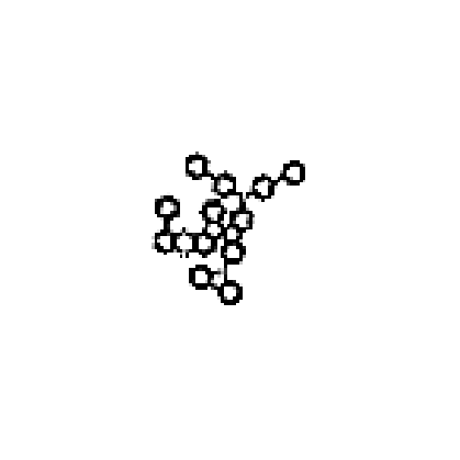 c1ccc(-c2ccc(N(c3ccc(-c4ccccc4)cc3)c3ccc4c(c3)C3(c5cc(-n6c7ccccc7c7ccccc76)ccc5-4)c4ccccc4-c4c3ccc3c4Sc4c(cccc4-c4ccccc4)O3)cc2)cc1